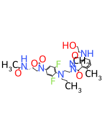 C=NN(CCN(CCC)c1c(F)cc(N2C[C@H](CNC(C)=O)OC2=O)cc1F)C(=O)c1cc(NC(=O)CO)ccc1C